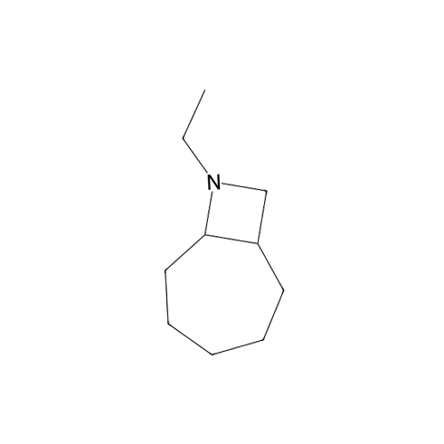 CCN1CC2CCCCCC21